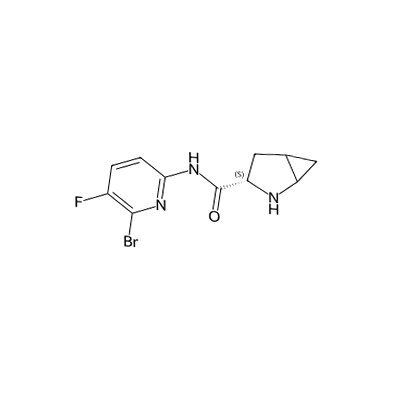 O=C(Nc1ccc(F)c(Br)n1)[C@@H]1CC2CC2N1